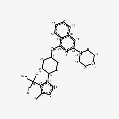 Cc1cnn(C2CCC(Oc3nc(N4CCOCC4)cc4ncccc34)CC2)c1C(F)(F)F